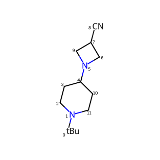 CC(C)(C)N1CCC(N2CC(C#N)C2)CC1